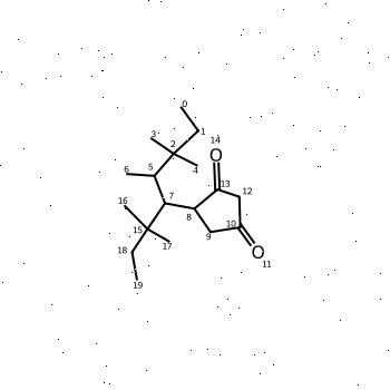 CCC(C)(C)C(C)C(C1CC(=O)CC1=O)C(C)(C)CC